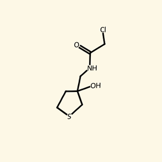 O=C(CCl)NCC1(O)CCSC1